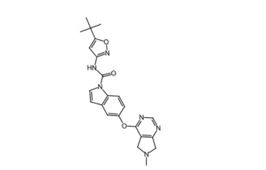 CN1Cc2ncnc(Oc3ccc4c(ccn4C(=O)Nc4cc(C(C)(C)C)on4)c3)c2C1